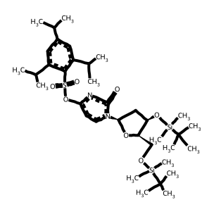 CC(C)c1cc(C(C)C)c(S(=O)(=O)Oc2ccn([C@H]3C[C@@H](O[Si](C)(C)C(C)(C)C)[C@@H](CO[Si](C)(C)C(C)(C)C)O3)c(=O)n2)c(C(C)C)c1